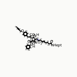 CC#CCOc1ccc(C[C@H](NC(=O)[C@@H](/C=C/CCCCCCC(=O)CCCCCCC)[C@@](O)(CC(=O)Oc2ccccc2)C(=O)O)C(=O)O)cc1